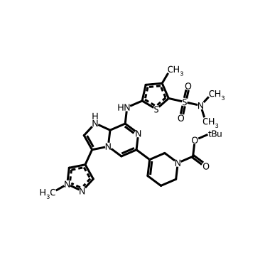 Cc1cc(NC2=NC(C3=CCCN(C(=O)OC(C)(C)C)C3)=CN3C(c4cnn(C)c4)=CNC23)sc1S(=O)(=O)N(C)C